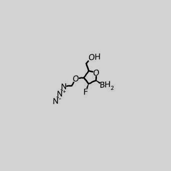 B[C@@H]1OC(CO)C(OCN=[N+]=[N-])[C@@H]1F